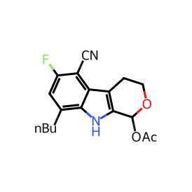 CCCCc1cc(F)c(C#N)c2c3c([nH]c12)C(OC(C)=O)OCC3